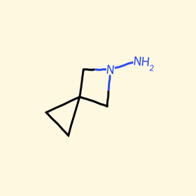 NN1CC2(CC2)C1